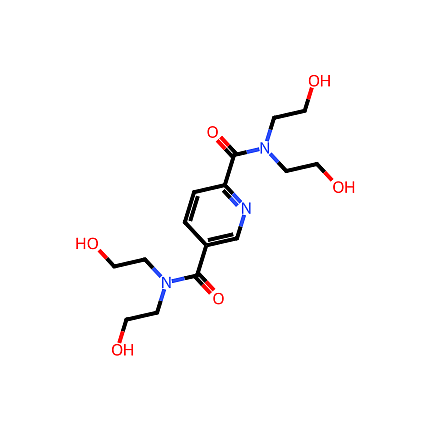 O=C(c1ccc(C(=O)N(CCO)CCO)nc1)N(CCO)CCO